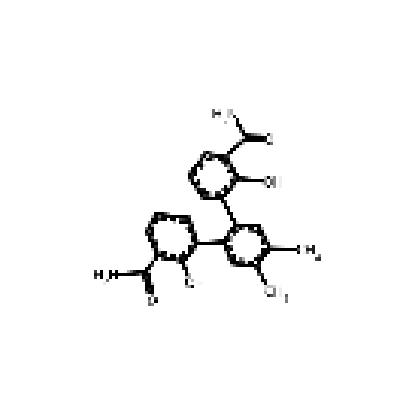 Cc1cc(-c2cccc(C(N)=O)c2O)c(-c2cccc(C(N)=O)c2O)cc1C